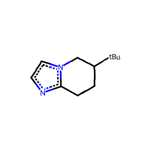 CC(C)(C)C1CCc2nccn2C1